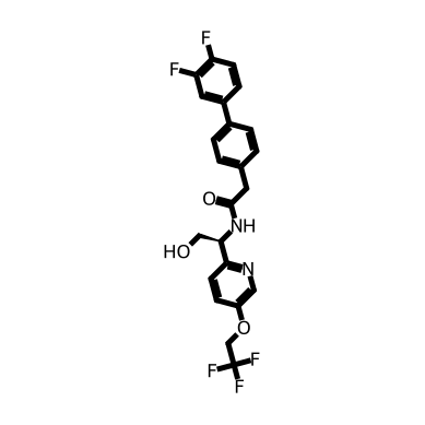 O=C(Cc1ccc(-c2ccc(F)c(F)c2)cc1)N[C@H](CO)c1ccc(OCC(F)(F)F)cn1